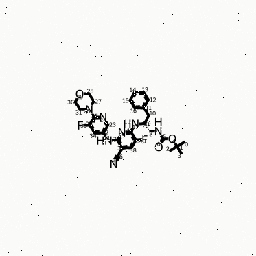 CC(C)(C)OC(=O)NC[C@@H](Cc1ccccc1)Nc1nc(Nc2cnc(N3CCOCC3)c(F)c2)c(C#N)cc1F